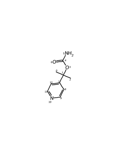 CC(C)(OC(N)=O)c1ccncc1